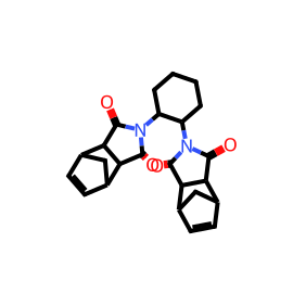 O=C1C2C3C=CC(C3)C2C(=O)N1C1CCCCC1N1C(=O)C2C3C=CC(C3)C2C1=O